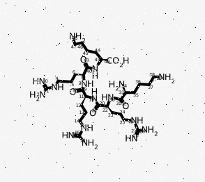 N=C(N)NCCC[C@H](NC(=O)[C@H](CCCNC(=N)N)NC(=O)[C@H](CCCNC(=N)N)NC(=O)[C@@H](N)CCCCN)C(=O)N[C@@H](CCCCN)C(=O)O